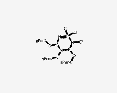 CCCCCON1P(OCCCCC)N=P(Cl)(Cl)N(Cl)P1OCCCCC